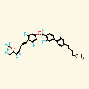 CCCCCc1ccc(-c2ccc(C(F)(F)Oc3cc(F)c(C#CC/C=C(/F)C(CF)OC(F)(F)F)c(F)c3)c(F)c2)c(F)c1